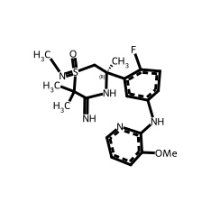 CN=S1(=O)C[C@@](C)(c2cc(Nc3ncccc3OC)ccc2F)NC(=N)C1(C)C